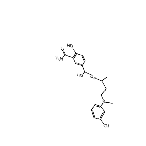 CC(CCN(C)c1cccc(O)c1)NCC(O)c1ccc(O)c(C(N)=O)c1